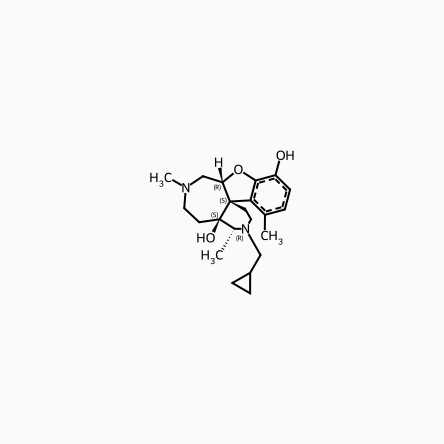 Cc1ccc(O)c2c1[C@]13CCN(CC4CC4)[C@H](C)[C@]1(O)CCN(C)C[C@@H]3O2